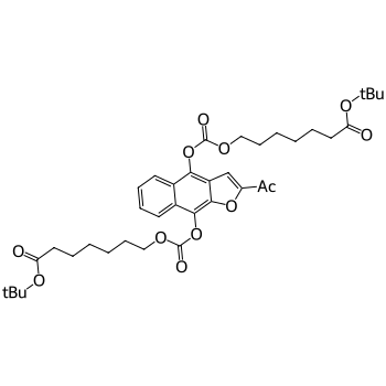 CC(=O)c1cc2c(OC(=O)OCCCCCCC(=O)OC(C)(C)C)c3ccccc3c(OC(=O)OCCCCCCC(=O)OC(C)(C)C)c2o1